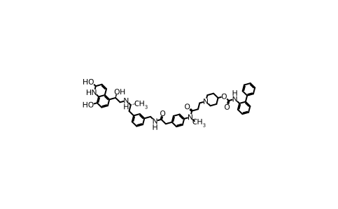 C[C@H](Cc1cccc(CNC(=O)Cc2ccc(N(C)C(=O)CCN3CCC(OC(=O)Nc4ccccc4-c4ccccc4)CC3)cc2)c1)NC[C@H](O)c1ccc(O)c2c1C=CC(O)N2